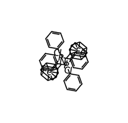 [Cl][Ni]([Cl])([C]12[CH]3[CH]4[CH]5[CH]1[Fe]45321678[CH]2[CH]1[CH]6[C]7(P(c1ccccc1)c1ccccc1)[CH]28)[C]12[CH]3[CH]4[CH]5[CH]1[Fe]45321678[CH]2[CH]1[CH]6[C]7(P(c1ccccc1)c1ccccc1)[CH]28